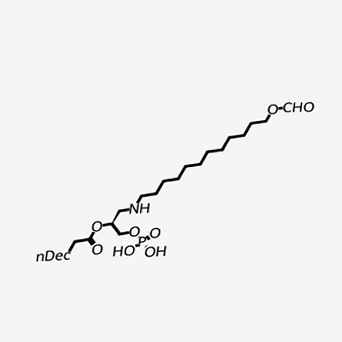 CCCCCCCCCCCC(=O)O[C@@H](CNCCCCCCCCCCCCOC=O)COP(=O)(O)O